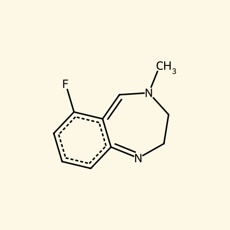 CN1C=c2c(F)cccc2=NCC1